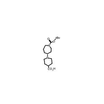 CC(C)(C)OC(=O)N1CCC[C@H](N2CCC(C(=O)O)CC2)CC1